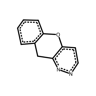 c1ccc2c(c1)Cc1nnccc1O2